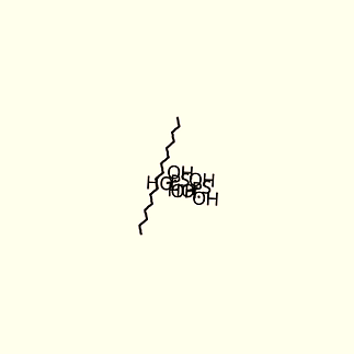 CCCCCCCCCCCCCCCC.OP(O)(O)=S.OP(O)(O)=S